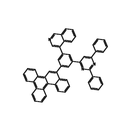 c1ccc(-c2cc(-c3cc(-c4cncc5ccccc45)cc(-c4cc5c6ccccc6c6ccccc6c5c5ccccc45)c3)nc(-c3ccccc3)n2)cc1